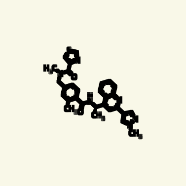 Cc1cc(CN(C)C(=O)c2cscn2)ccc1C(=O)N[C@H](C)c1cc(-c2cnn(C)c2)nc2ccccc12